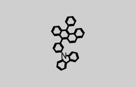 c1ccc(-c2c3ccccc3c(-c3cccc(-n4c5ccccc5c5ccccc54)c3)c3ccc4ccccc4c23)cc1